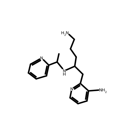 CC(NC(CCCN)Cc1ncccc1N)c1ccccn1